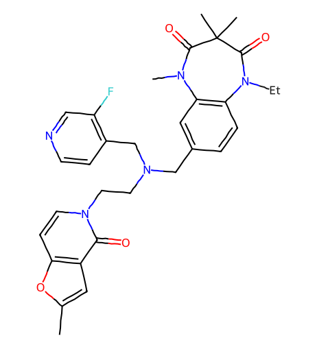 CCN1C(=O)C(C)(C)C(=O)N(C)c2cc(CN(CCn3ccc4oc(C)cc4c3=O)Cc3ccncc3F)ccc21